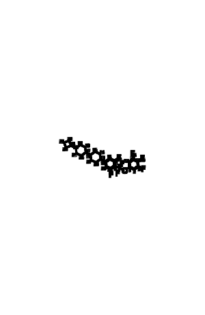 Fc1cc(OC(F)(F)c2c(F)cc(C3CCC(C4CCC(C5CCC5)CC4)CC3)cc2F)cc(F)c1F